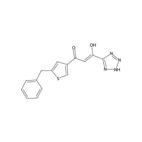 O=C(C=C(O)c1nn[nH]n1)c1csc(Cc2ccccc2)c1